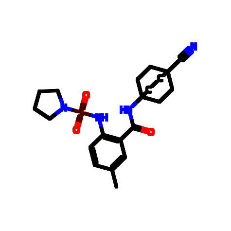 Cc1ccc(NS(=O)(=O)N2CCCC2)c(C(=O)NC23CCC(C#N)(CC2)CC3)c1